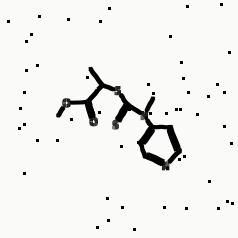 COC(=O)C(C)SC(=S)N(C)c1ccncc1